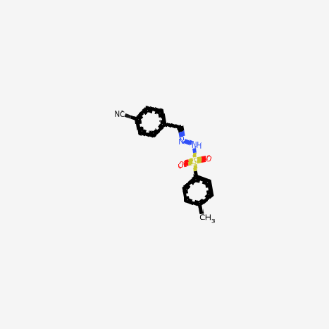 Cc1ccc(S(=O)(=O)NN=Cc2ccc(C#N)cc2)cc1